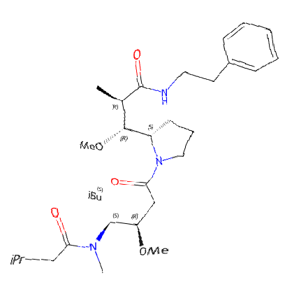 CC[C@H](C)[C@@H]([C@@H](CC(=O)N1CCC[C@H]1[C@H](OC)[C@@H](C)C(=O)NCCc1ccccc1)OC)N(C)C(=O)CC(C)C